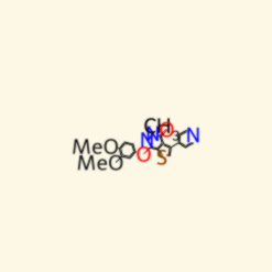 COc1ccc(Oc2nn(C)c(=O)c3c(-c4ccncc4)csc23)cc1OC